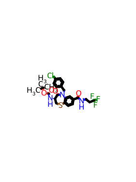 CC(C)(C)OC(=O)N[C@H]1CSc2ccc(C(=O)NCCC(F)(F)F)cc2N(Cc2ccc(Cl)cc2)C1=O